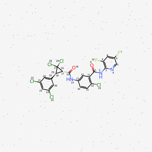 O=C(Nc1ncc(F)cc1F)c1cc(NC(=O)[C@@H]2[C@@H](c3cc(Cl)cc(Cl)c3)C2(Cl)Cl)ccc1Cl